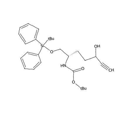 C#CC(O)CC[C@@H](CO[Si](c1ccccc1)(c1ccccc1)C(C)(C)C)NC(=O)OC(C)(C)C